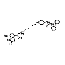 O=C(Nc1ccccc1-c1ccccc1)NC1CCN(CCCCCCCCCNCC(O)c2ccc(O)c3[nH]c(=O)ccc23)CC1